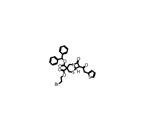 O=C(Cc1cccs1)C1C(=O)N2CC(C(=O)OCCBr)(C(=O)OC(c3ccccc3)c3ccccc3)CS[C@H]12